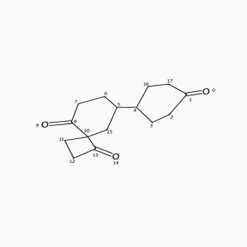 O=C1CCC(C2CCC(=O)C3(CCC3=O)C2)CC1